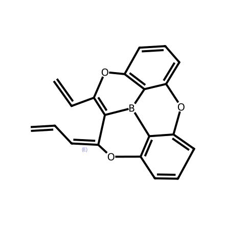 C=C/C=C1/Oc2cccc3c2B2C1=C(C=C)Oc1cccc(c12)O3